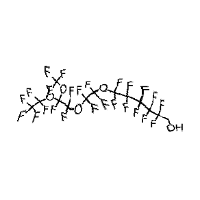 OCC(F)(F)C(F)(F)C(F)(F)C(F)(F)C(F)(F)OC(F)(F)C(F)(F)OC(F)(F)C(F)(OC(F)(F)F)OC(F)(F)C(F)(F)F